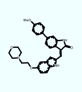 COc1ccc(-c2ccc3c(c2)NC(=O)/C3=C/c2cc3cc(OCCN4CCOCC4)ccc3[nH]2)cc1